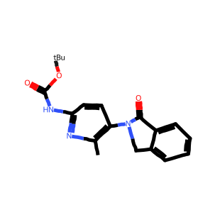 Cc1nc(NC(=O)OC(C)(C)C)ccc1N1Cc2ccccc2C1=O